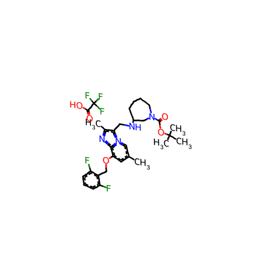 Cc1cc(OCc2c(F)cccc2F)c2nc(C)c(CNC3CCCCN(C(=O)OC(C)(C)C)C3)n2c1.O=C(O)C(F)(F)F